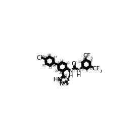 O=C(Nc1cc(C(F)(F)F)cc(C(F)(F)F)c1)Nc1ccc(-c2ccc(Cl)cc2)cc1-c1nnn[nH]1